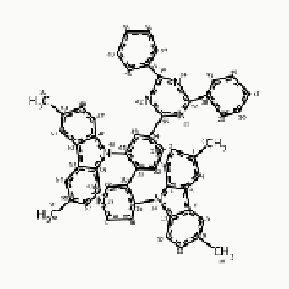 Cc1ccc2c(c1)c1cc(C)ccc1n2-c1ccncc1-c1ccc(-c2nc(-c3ccccc3)nc(-c3ccccc3)n2)cc1-n1c2ccc(C)cc2c2cc(C)ccc21